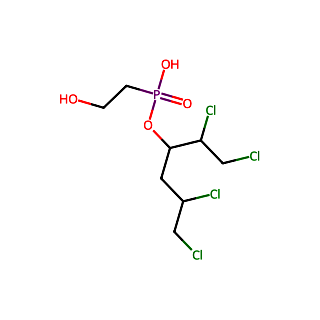 O=P(O)(CCO)OC(CC(Cl)CCl)C(Cl)CCl